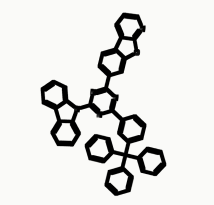 c1ccc(C(c2ccccc2)(c2ccccc2)c2cccc(-c3nc(-c4ccc5c(c4)oc4ncccc45)nc(-n4c5ccccc5c5ccccc54)n3)c2)cc1